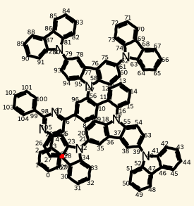 c1ccc(-c2cc(-c3ccc(-c4ccccc4-n4c5ccc(-n6c7ccccc7c7ccccc76)cc5c5cc(-n6c7ccccc7c7ccccc76)ccc54)c(-n4c5ccc(-n6c7ccccc7c7ccccc76)cc5c5cc(-n6c7ccccc7c7ccccc76)ccc54)c3)nc(-c3ccccc3)n2)cc1